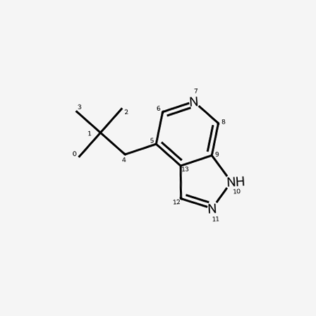 CC(C)(C)Cc1cncc2[nH]ncc12